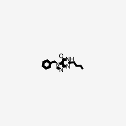 CCCCc1nc2ncn(Cc3ccccc3)c2c(=O)[nH]1